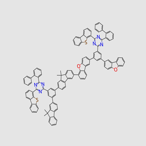 CC1(C)c2ccccc2-c2ccc(-c3cc(-c4ccc5c(c4)C(C)(C)c4ccc(-c6cccc7c6oc6ccc(-c8cc(-c9ccc%10oc%11ccccc%11c%10c9)cc(-c9nc(-c%10ccccc%10-c%10ccccc%10)nc(-c%10cccc%11c%10sc%10ccccc%10%11)n9)c8)cc67)cc4-5)cc(-c4nc(-c5ccccc5-c5ccccc5)nc(-c5cccc6c5sc5ccccc56)n4)c3)cc21